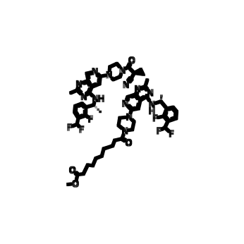 COC(=O)CCCCCCCCC(=O)N1CCN(c2cc3c(N[C@H](C)c4cccc(C(F)F)c4F)nc(C)nc3cn2)CC1.Cc1nc(N[C@H](C)c2cccc(C(F)F)c2F)c2cc(N3CCN(C(=O)C4(C#N)CC4)CC3)ncc2n1